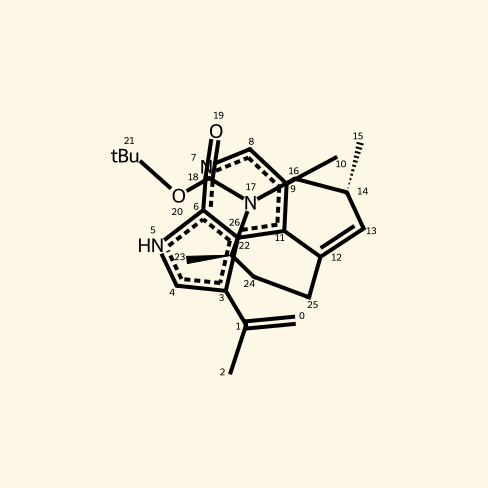 C=C(C)c1c[nH]c2ncc(C)c(/C3=C\[C@@H](C)CN(C(=O)OC(C)(C)C)[C@H](C)CC3)c12